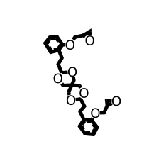 c1ccc(OCC2CO2)c(CCC2OCC3(CO2)COC(CCc2ccccc2OCC2CO2)OC3)c1